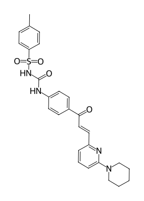 Cc1ccc(S(=O)(=O)NC(=O)Nc2ccc(C(=O)C=Cc3cccc(N4CCCCC4)n3)cc2)cc1